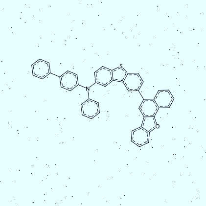 c1ccc(-c2ccc(N(c3ccccc3)c3ccc4sc5ccc(-c6cc7c8ccccc8oc7c7ccccc67)cc5c4c3)cc2)cc1